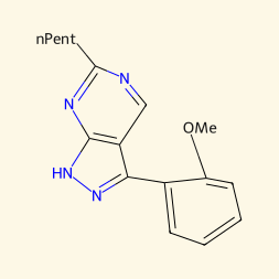 CCCCCc1ncc2c(-c3ccccc3OC)n[nH]c2n1